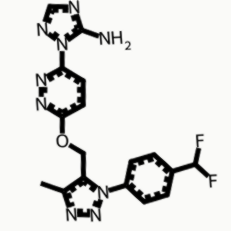 Cc1nnn(-c2ccc(C(F)F)cc2)c1COc1ccc(-n2ncnc2N)nn1